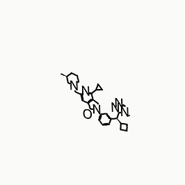 C[C@H]1CCCN(Cc2cc3c(c(C4CC4)n2)CN(c2cccc([C@@H](c4nncn4C)C4CCC4)c2)C3=O)C1